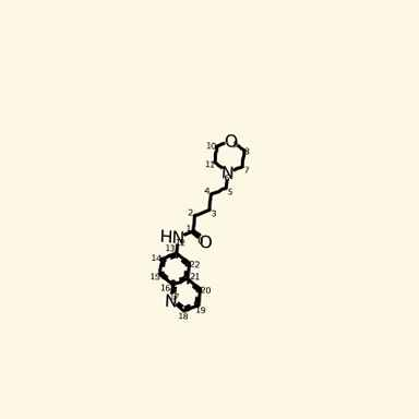 O=C(CCCCN1CCOCC1)Nc1ccc2ncccc2c1